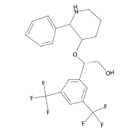 OC[C@@H](OC1CCCNC1c1ccccc1)c1cc(C(F)(F)F)cc(C(F)(F)F)c1